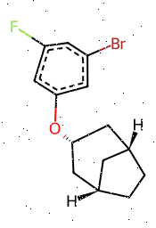 Fc1cc(Br)cc(O[C@@H]2C[C@@H]3CC[C@@H](C3)C2)c1